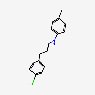 Cc1ccc(NCCCc2ccc(Cl)cc2)cc1